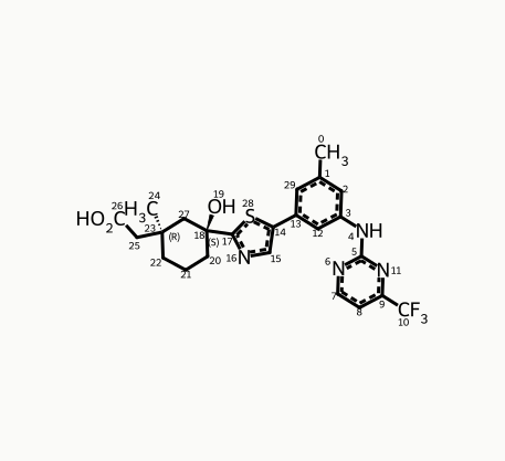 Cc1cc(Nc2nccc(C(F)(F)F)n2)cc(-c2cnc([C@]3(O)CCC[C@@](C)(CC(=O)O)C3)s2)c1